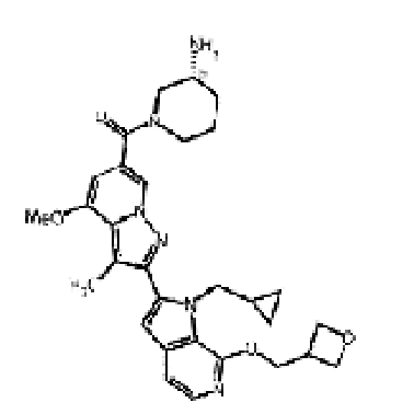 COc1cc(C(=O)N2CCC[C@@H](N)C2)cn2nc(-c3cc4ccnc(OCC5COC5)c4n3CC3CC3)c(C)c12